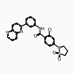 O=C(Nc1cccc(-c2ccc3ncccc3n2)c1)c1ccc(N2CCCS2(=O)=O)cc1Cl